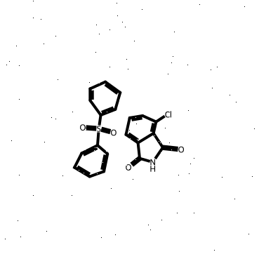 O=C1NC(=O)c2c(Cl)cccc21.O=S(=O)(c1ccccc1)c1ccccc1